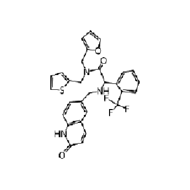 O=C(C(NCc1ccc2[nH]c(=O)ccc2c1)c1ccccc1C(F)(F)F)N(Cc1ccco1)Cc1cccs1